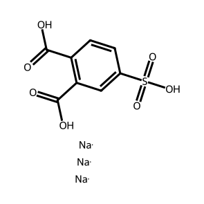 O=C(O)c1ccc(S(=O)(=O)O)cc1C(=O)O.[Na].[Na].[Na]